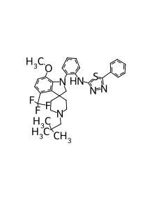 COc1ccc(C(F)(F)F)c2c1N(c1ccccc1Nc1nnc(-c3ccccc3)s1)CC21CCN(CC(C)(C)C)CC1